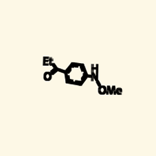 CCC(=O)c1ccc(NOC)cc1